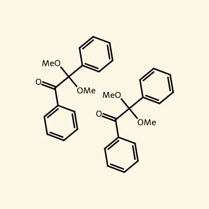 COC(OC)(C(=O)c1ccccc1)c1ccccc1.COC(OC)(C(=O)c1ccccc1)c1ccccc1